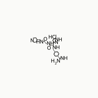 Cl.N=C(N)c1ccc(CNC(C(=O)NCC(=O)NCc2ccncc2)c2cc[nH]n2)cc1